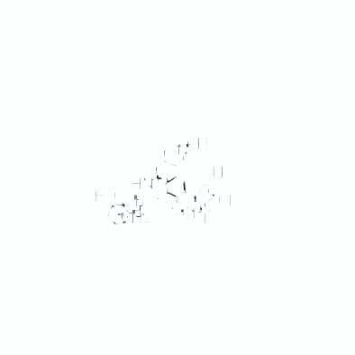 COc1c(CC(NC(=O)CC2CCN(C)CC2)B2OC3CC4CC(C4(C)C)C3(C)O2)cccc1C(=O)OC(C)(C)C